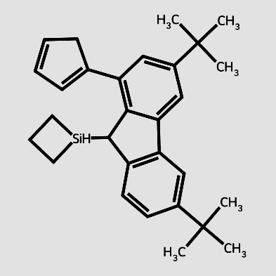 CC(C)(C)c1ccc2c(c1)-c1cc(C(C)(C)C)cc(C3=CC=CC3)c1C2[SiH]1CCC1